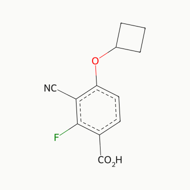 N#Cc1c(OC2CCC2)ccc(C(=O)O)c1F